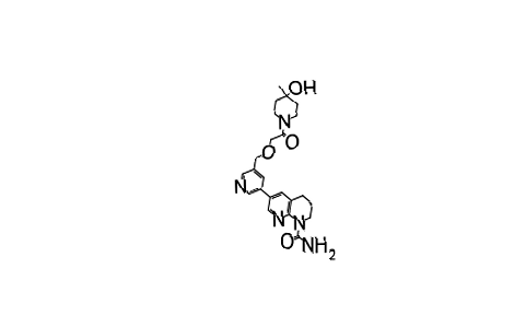 CC1(O)CCN(C(=O)COCc2cncc(-c3cnc4c(c3)CCCN4C(N)=O)c2)CC1